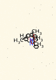 Cc1ccc(B(c2c(C)cc(C)cc2C)c2c(C)cc(C)cc2Cc2nc(-c3ccccc3)c3ccc4ccccc4c3n2)cc1